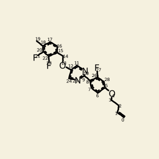 C=CCCOc1ccc(-c2ncc(OCc3ccc(C)c(F)c3F)cn2)c(F)c1